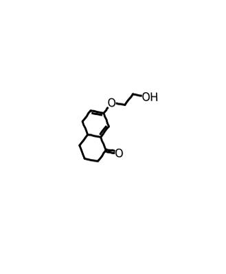 O=C1CCCC2CC=C(OCCO)C=C12